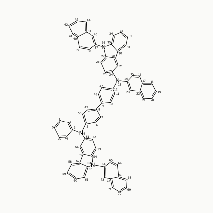 c1ccc(N(c2ccc(-c3ccc(N(c4ccc5ccccc5c4)c4ccc5c(c4)c4ccccc4n5-c4ccc5ccccc5c4)cc3)cc2)c2ccc3c(c2)c2ccccc2n3-c2ccc3ccccc3c2)cc1